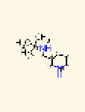 CC(C)(C)NCC1CCCNC1